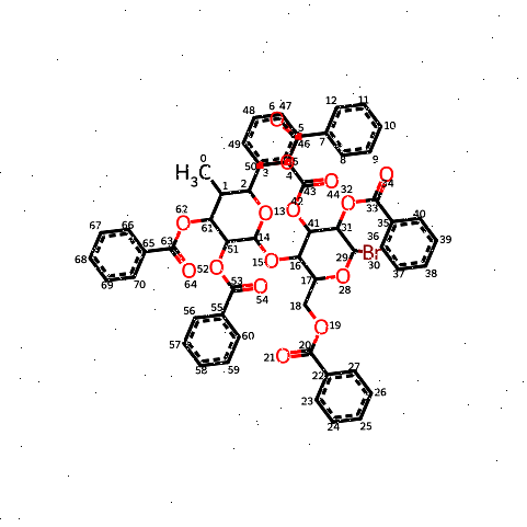 CC1C(COC(=O)c2ccccc2)OC(OC2C(COC(=O)c3ccccc3)OC(Br)C(OC(=O)c3ccccc3)C2OC(=O)c2ccccc2)C(OC(=O)c2ccccc2)C1OC(=O)c1ccccc1